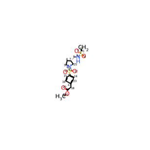 C=CS(=O)(=O)NC[C@H]1CCN(S(=O)(=O)c2ccc(CC(=O)OC)cc2)C1